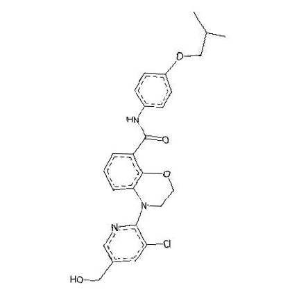 CC(C)COc1ccc(NC(=O)c2cccc3c2OCCN3c2ncc(CO)cc2Cl)cc1